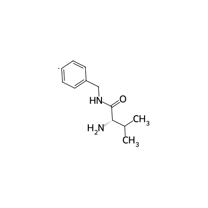 CC(C)[C@H](N)C(=O)NCc1cc[c]cc1